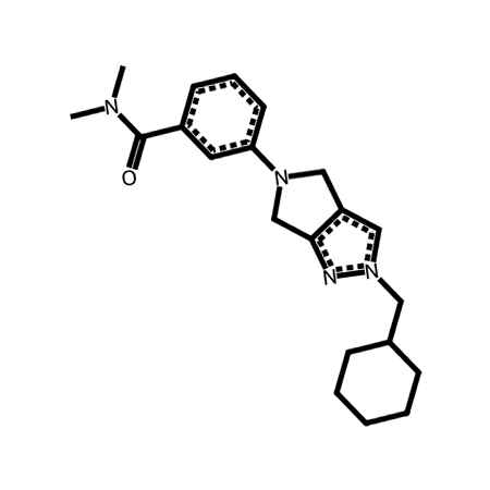 CN(C)C(=O)c1cccc(N2Cc3cn(CC4CCCCC4)nc3C2)c1